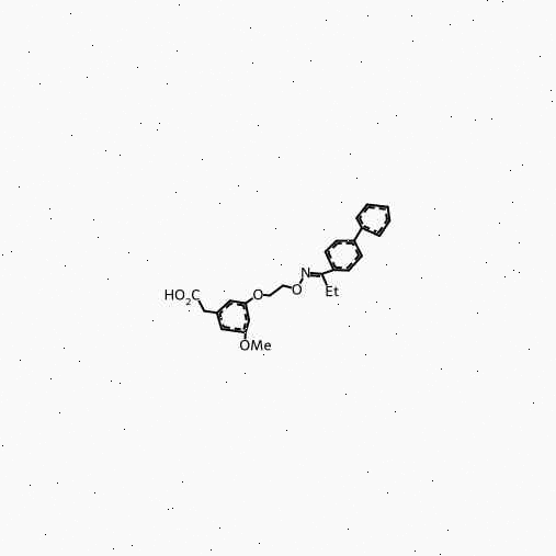 CC/C(=N\OCCOc1cc(CC(=O)O)cc(OC)c1)c1ccc(-c2ccccc2)cc1